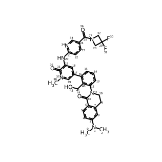 CN(C)c1ccc2c(c1)CCN(c1cccc(-c3cc(Nc4ccc(C(=O)N5CC(F)(F)C5)cn4)c(=O)n(C)c3)c1CO)C2=O